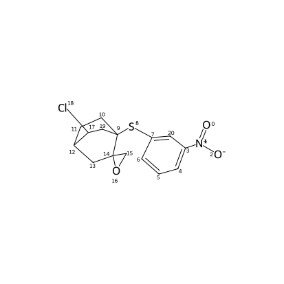 O=[N+]([O-])c1cccc(SC23CCC(CC24CO4)C(Cl)C3)c1